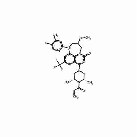 C=CC(=O)N1[C@H](C)CN(c2nc(=O)n3c4c(cc(C(F)(F)F)cc24)[SH](c2cc(C)c(F)cn2)C[C@@H](OC)C3)C[C@@H]1C